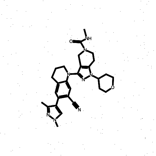 CNC(=O)N1CCc2c(c(N3CCCc4cc(-c5cn(C)nc5C)c(C#N)cc43)nn2C2CCOCC2)C1